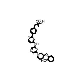 CC(C)(Cc1ccc(-c2nccc(Nc3cncc(N4CCCC(OC5=C(O)CCC=C5)C4)n3)n2)cc1)C(=O)O